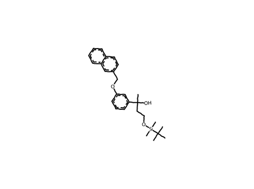 CC(O)(CCO[Si](C)(C)C(C)(C)C)c1cccc(OCc2ccc3ccccc3c2)c1